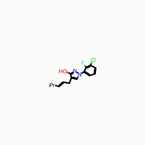 CC(C)/C=C/Cc1cn(-c2cccc(Cl)c2F)nc1O